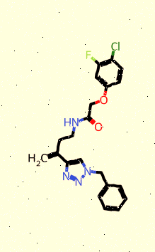 C=C(CCNC(=O)COc1ccc(Cl)c(F)c1)c1cn(Cc2ccccc2)nn1